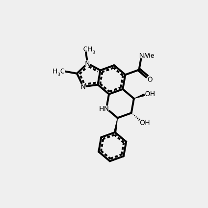 CNC(=O)c1cc2c(nc(C)n2C)c2c1[C@@H](O)[C@H](O)[C@@H](c1ccccc1)N2